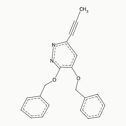 CC#Cc1cc(OCc2ccccc2)c(OCc2ccccc2)nn1